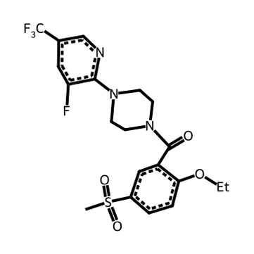 CCOc1ccc(S(C)(=O)=O)cc1C(=O)N1CCN(c2ncc(C(F)(F)F)cc2F)CC1